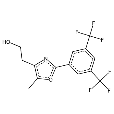 Cc1oc(-c2cc(C(F)(F)F)cc(C(F)(F)F)c2)nc1CCO